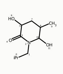 CC(C)CN1C(=O)C(O)CC(C)C1O